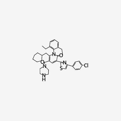 CCc1cccc(CC)c1-n1c(CC2CCCCC2)c(C(=O)N2CCNCC2)cc(-c2nc(-c3ccc(Cl)cc3)cs2)c1=O